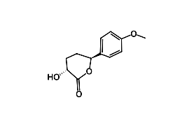 COc1ccc([C@@H]2CC[C@@H](O)C(=O)O2)cc1